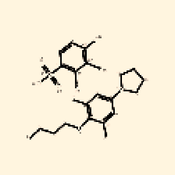 CCCCOc1c(C)cc([S+]2CCCC2)cc1C.O=S(=O)([O-])c1ccc(F)c(F)c1F